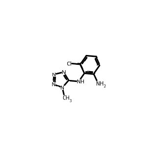 Cn1nnnc1Nc1c(N)cccc1Cl